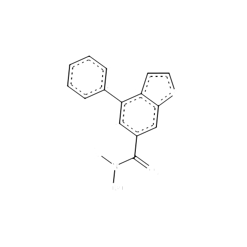 CCC(C)N(C)C(=O)c1cc(-c2ccccc2)c2ccsc2c1